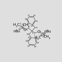 CCCC[Si](C)(C)OCC(CO[Si](C)(C)CCCC)(Cc1ccccc1)Cc1ccccc1